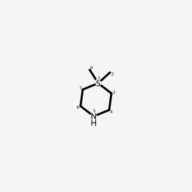 CS1(C)CCNCC1